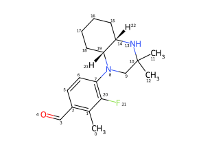 Cc1c(C=O)ccc(N2CC(C)(C)N[C@H]3CCCC[C@H]32)c1F